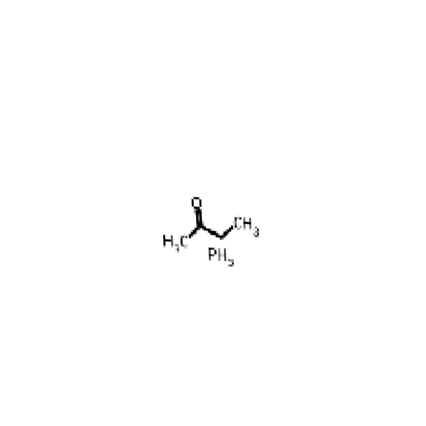 CCC(C)=O.P